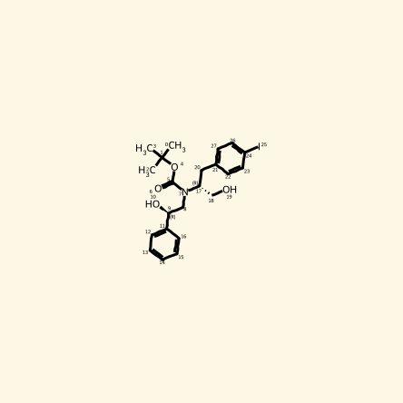 CC(C)(C)OC(=O)N(C[C@H](O)c1ccccc1)[C@@H](CO)Cc1ccc(I)cc1